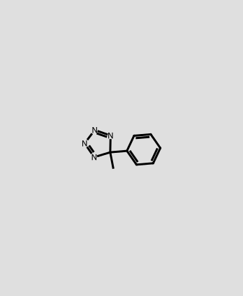 CC1(c2ccccc2)N=NN=N1